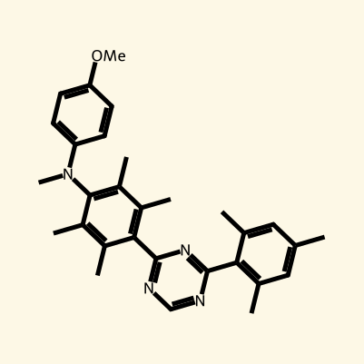 COc1ccc(N(C)c2c(C)c(C)c(-c3ncnc(-c4c(C)cc(C)cc4C)n3)c(C)c2C)cc1